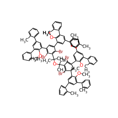 COc1c(-c2ccccc2C)cc(-c2ccccc2C)cc1-c1cc(-c2cc(-c3ccccc3C)cc(-c3ccccc3C)c2OC)c(Br)c(C(C)(C)OC(C)(C)c2c(Br)c(-c3cc(-c4ccccc4C)cc(-c4ccccc4C)c3OC)cc(-c3cc(-c4ccccc4C)cc(-c4ccccc4C)c3OC)c2Br)c1Br